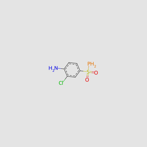 Nc1ccc(S(=O)(=O)P)cc1Cl